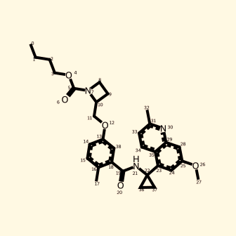 CCCCOC(=O)N1CCC1COc1ccc(C)c(C(=O)NC2(c3cc(OC)cc4nc(C)ccc34)CC2)c1